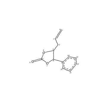 C=CCC1OC(=O)OC1c1ccccc1